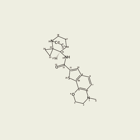 CN1CCOc2c1ccc1cc(C(=O)N[C@@H]3C4CCN(CC4)C34CC4)sc21